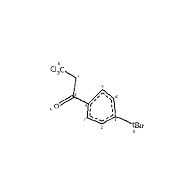 CC(C)(C)c1ccc(C(=O)CC(Cl)(Cl)Cl)cc1